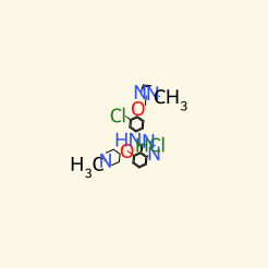 CN1CCC(Oc2cccc3ncnc(Nc4ccc(OCc5nccn5C)c(Cl)c4)c23)CC1.Cl